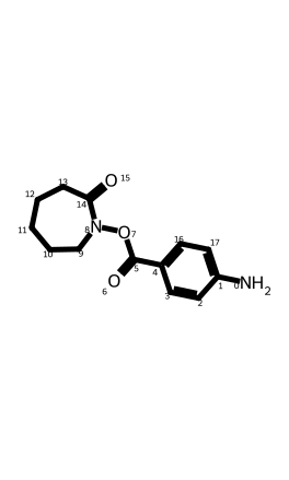 Nc1ccc(C(=O)ON2CCCCCC2=O)cc1